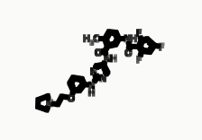 Cc1ccc(NC(=O)c2c(F)cc(F)cc2F)cc1C(=O)Nc1cnc(Nc2cccc(OCCN3CCCC3)c2)nc1